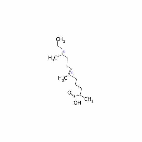 CC/C=C(\C)CC/C=C(\C)CCCC(C)C(=O)O